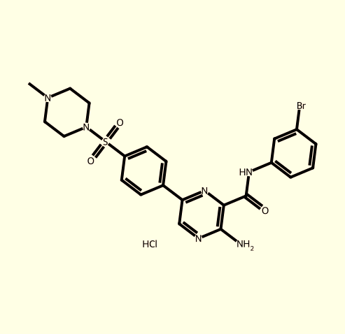 CN1CCN(S(=O)(=O)c2ccc(-c3cnc(N)c(C(=O)Nc4cccc(Br)c4)n3)cc2)CC1.Cl